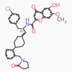 COc1cc2oc(C(=O)N[C@@H](C=C3CCC(c4ccccc4CN4CCCC4=O)CC3)Cc3ccc(Cl)cc3)cc(=O)c2cc1O